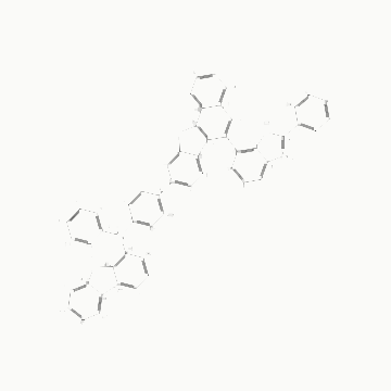 c1ccc(-c2nc3cccc(-c4cc5ccccc5c5oc6cc(-c7ccc(N(c8ccccc8)c8cccc9c8sc8ccccc89)cc7)ccc6c45)c3o2)cc1